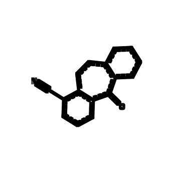 N#Cc1cccc2c(=O)c3ccccc3ccc12